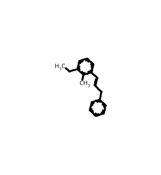 CCc1cccc(C=CCc2ccccc2)c1C